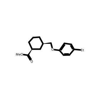 CCc1ccc(OC[C@@H]2CCC[C@H](C(=O)OC)C2)cc1